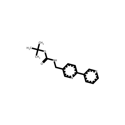 CC(C)(C)OC(=O)NCc1ccc(-c2cccnc2)nc1